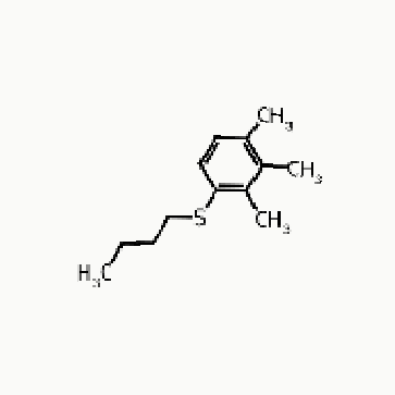 CCCCSc1ccc(C)c(C)c1C